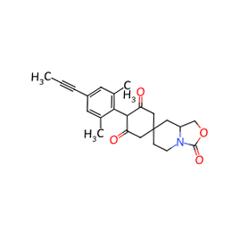 CC#Cc1cc(C)c(C2C(=O)CC3(CCN4C(=O)OCC4C3)CC2=O)c(C)c1